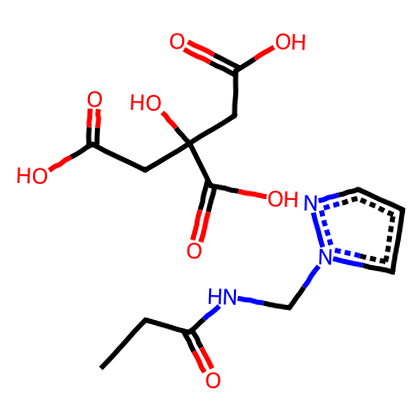 CCC(=O)NCn1cccn1.O=C(O)CC(O)(CC(=O)O)C(=O)O